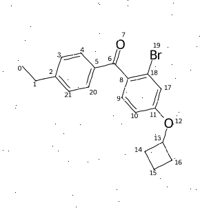 CCc1ccc(C(=O)c2ccc(OC3CCC3)cc2Br)cc1